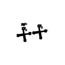 O=S(=O)([O-])C(F)(F)F.O=S(=O)([O-])C(F)(F)F.[Pt+2]